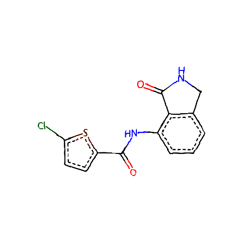 O=C(Nc1cccc2c1C(=O)NC2)c1ccc(Cl)s1